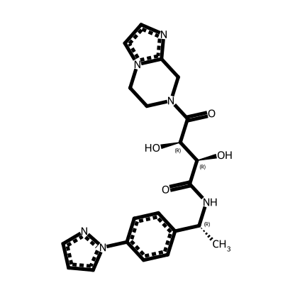 C[C@@H](NC(=O)[C@H](O)[C@@H](O)C(=O)N1CCn2ccnc2C1)c1ccc(-n2cccn2)cc1